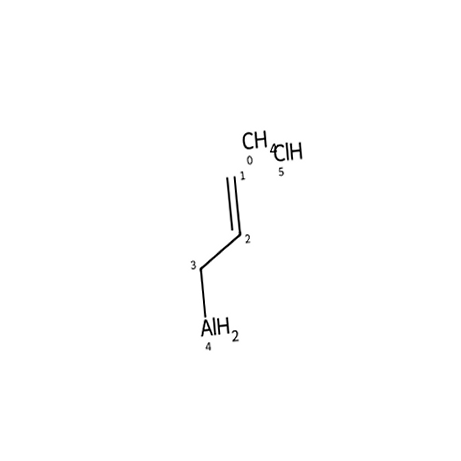 C.C=C[CH2][AlH2].Cl